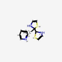 O=C(O)C1(C2NC=CS2)NC=CS1.c1ccncc1